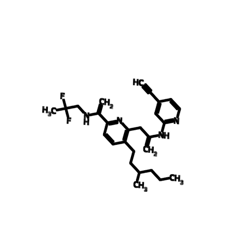 C#Cc1ccnc(NC(=C)Cc2nc(C(=C)NCC(C)(F)F)ccc2CCC(C)CCC)c1